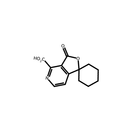 O=C(O)c1nccc2c1C(=O)OC21CCCCC1